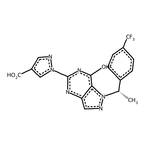 C[C@@H](c1ccc(C(F)(F)F)cc1)n1ncc2nc(-n3cc(C(=O)O)cn3)nc(O)c21